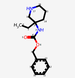 CCC1(NC(=O)OCc2ccccc2)CCCNC1